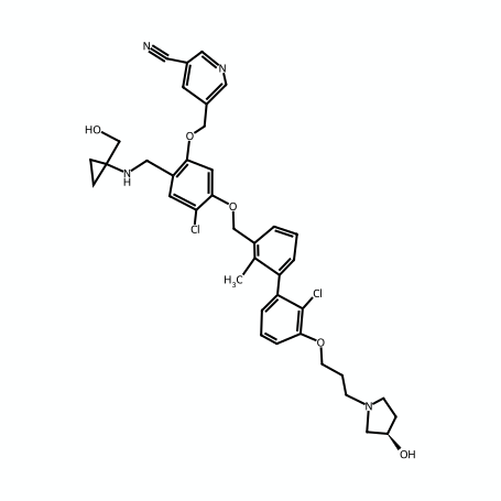 Cc1c(COc2cc(OCc3cncc(C#N)c3)c(CNC3(CO)CC3)cc2Cl)cccc1-c1cccc(OCCCN2CC[C@@H](O)C2)c1Cl